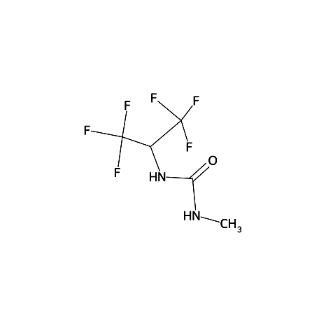 CNC(=O)NC(C(F)(F)F)C(F)(F)F